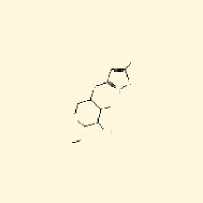 OC[C@@H]1OCC(Nc2cc(C(F)(F)F)[nH]n2)C(O)C1O